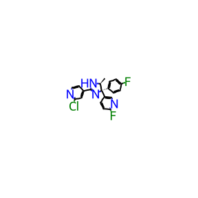 C[C@@H]1NC(c2ccnc(Cl)c2)=N[C@]1(c1ccc(F)cc1)c1ccc(F)nc1